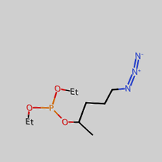 CCOP(OCC)OC(C)CCCN=[N+]=[N-]